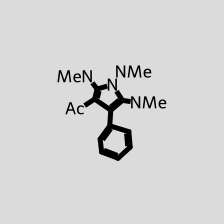 CNc1c(C(C)=O)c(-c2ccccc2)c(NC)n1NC